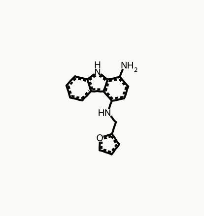 Nc1ccc(NCc2ccco2)c2c1[nH]c1ccccc12